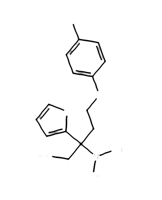 CCC(CCSc1ccc(Cl)cc1)(c1cccs1)N(C)C